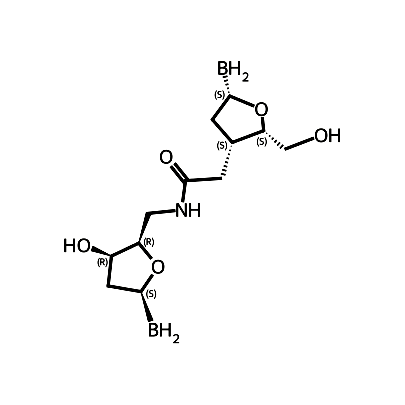 B[C@H]1C[C@@H](CC(=O)NC[C@H]2O[C@@H](B)C[C@H]2O)[C@@H](CO)O1